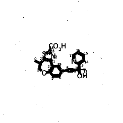 CC1COc2ccc(C#C[C@@](C)(O)c3ccccn3)cc2-c2nc(C(=O)O)sc21